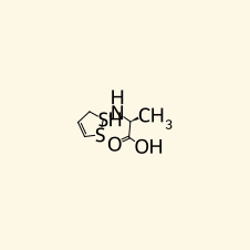 C[C@H](N[SH]1CC=CS1)C(=O)O